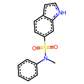 CN(c1ccccc1)S(=O)(=O)c1ccc2cc[nH]c2c1